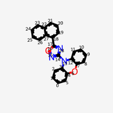 c1ccc2c(c1)Oc1ccccc1N2c1noc(-c2cccc3ccccc23)n1